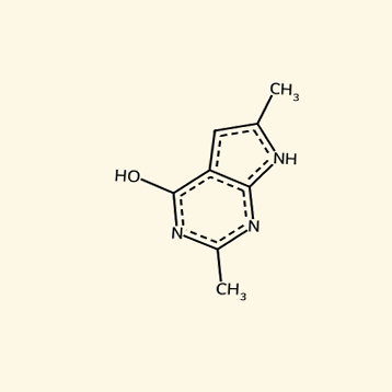 Cc1nc(O)c2cc(C)[nH]c2n1